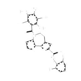 Nc1c(O)c(O)c(C(=O)N2CCc3cc(C(=O)Nc4c(F)cccc4F)sc3-c3sccc32)c(O)c1O